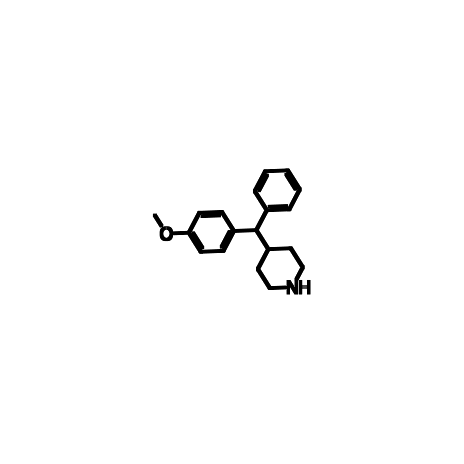 COc1ccc(C(c2ccccc2)C2CCNCC2)cc1